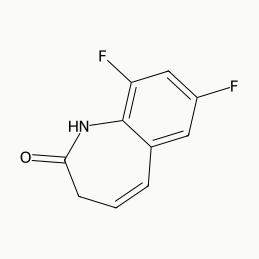 O=C1CC=Cc2cc(F)cc(F)c2N1